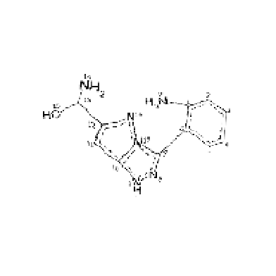 Nc1ccccc1-c1n[nH]c2cc(C(N)O)nn12